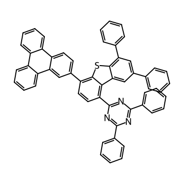 c1ccc(-c2cc(-c3ccccc3)c3sc4c(-c5ccc6c7ccccc7c7ccccc7c6c5)ccc(-c5nc(-c6ccccc6)nc(-c6ccccc6)n5)c4c3c2)cc1